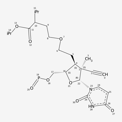 C#C[C@]1(C)[C@H](CCOCCC(C(=O)OC(C)C)C(C)C)[C@@H](COP=O)O[C@H]1n1ccc(=O)[nH]c1=O